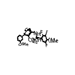 COc1cccc(-c2scc(NC(=O)c3cc(F)c(OC)c(F)c3F)c2C(=O)O)c1